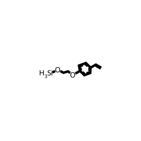 C=Cc1ccc(OCCO[SiH3])cc1